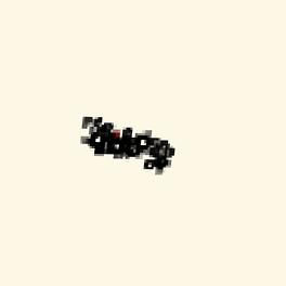 CC1=C2C(=O)[C@H]3[C@@H](CC=C4C[C@@H](OC(=O)ON5C(=O)CCC5=O)CC[C@@]43C)[C@@H]2CC[C@]12O[C@@H]1C[C@H](C)CN(C(=O)C(F)(F)F)[C@H]1[C@H]2C